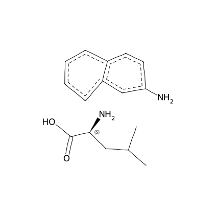 CC(C)C[C@H](N)C(=O)O.Nc1ccc2ccccc2c1